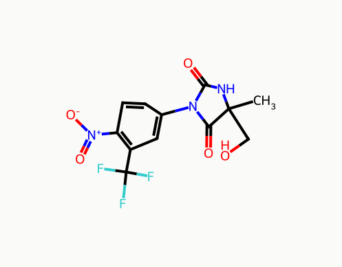 CC1(CO)NC(=O)N(c2ccc([N+](=O)[O-])c(C(F)(F)F)c2)C1=O